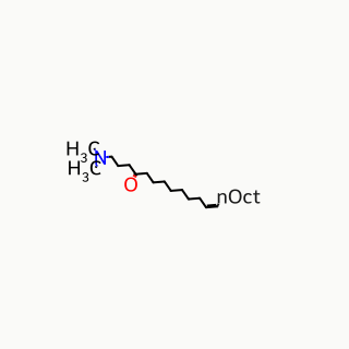 CCCCCCCC/C=C\CCCCCCCC(=O)CCCN(C)C